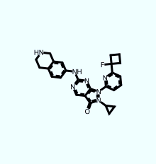 O=c1c2cnc(Nc3ccc4c(c3)CNCC4)nc2n(-c2cccc(C3(F)CCC3)n2)n1C1CC1